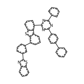 c1ccc(-c2ccc(-c3nc(-c4ccccc4)nc(-c4cccc5sc6c(-c7cccc(-c8nc9ccccc9s8)c7)cccc6c45)n3)cc2)cc1